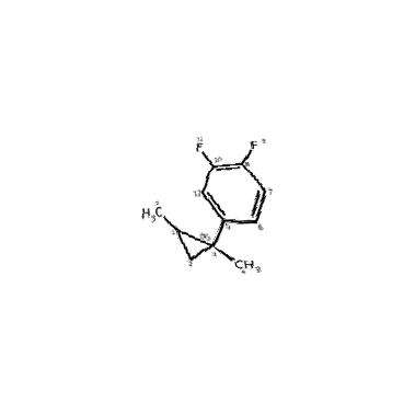 CC1C[C@@]1(C)c1ccc(F)c(F)c1